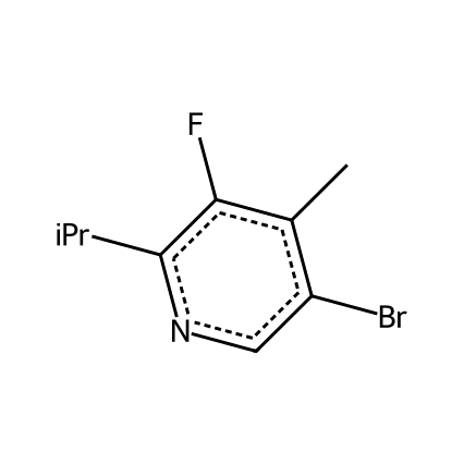 Cc1c(Br)cnc(C(C)C)c1F